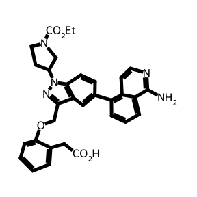 CCOC(=O)N1CCC(n2nc(COc3ccccc3CC(=O)O)c3cc(-c4cccc5c(N)nccc45)ccc32)C1